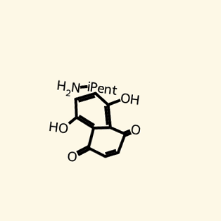 CCCC(C)N.O=C1C=CC(=O)c2c(O)ccc(O)c21